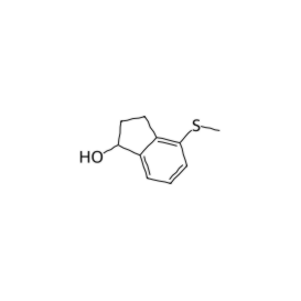 CSc1cccc2c1CCC2O